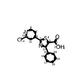 O=C(O)c1sc(-c2ccnc(Cl)c2)nc1-c1ccccc1